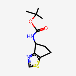 CC(C)(C)OC(=O)NC1CCc2scnc21